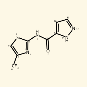 O=C(Nc1nc(C(F)(F)F)cs1)c1ccn[nH]1